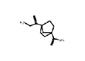 C=C(CN)C12CCC(C(=C)SC)(CC1)C2